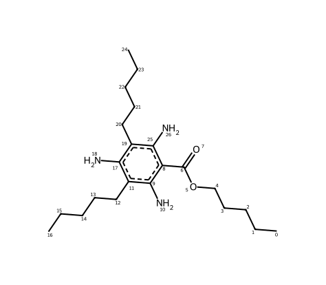 CCCCCOC(=O)c1c(N)c(CCCCC)c(N)c(CCCCC)c1N